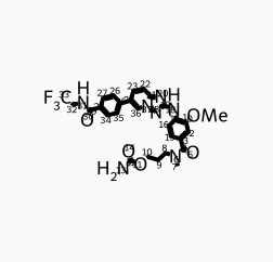 COc1cc(C(=O)N(C)CCCOC(N)=O)ccc1Nc1nc2ccc(-c3ccc(C(=O)NCC(F)(F)F)cc3)cn2n1